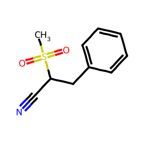 CS(=O)(=O)C(C#N)Cc1ccccc1